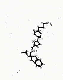 C=C(C)CC1(CNCc2nc(-c3ccc(CCCN)cc3)cs2)Cc2ccccc2C1